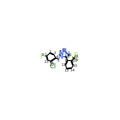 Fc1ccc(Cn2nnnc2-c2ccccc2C(F)(F)F)c(Cl)c1